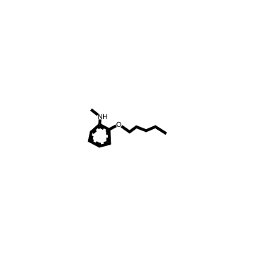 CCCCCOc1ccccc1NC